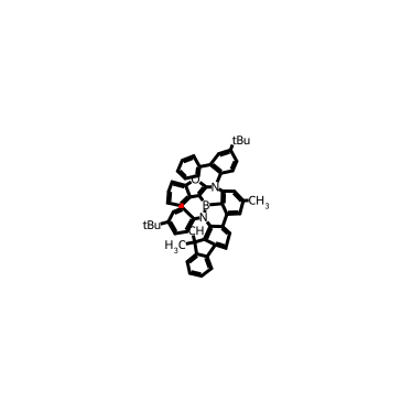 Cc1cc2c3c(c1)N(c1ccc(C(C)(C)C)cc1-c1ccccc1)c1oc4ccccc4c1B3N(c1ccc(C(C)(C)C)cc1)c1c-2ccc2c1C(C)(C)c1ccccc1-2